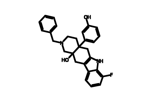 Oc1cccc(C23CCN(Cc4ccccc4)CC2(O)Cc2c([nH]c4c(F)cccc24)C3)c1